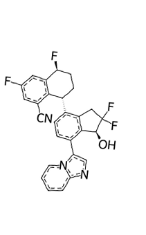 N#Cc1cc(F)cc2c1[C@@H](c1ccc(-c3cnc4ccccn34)c3c1CC(F)(F)[C@H]3O)CC[C@@H]2F